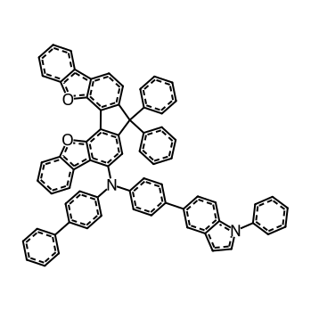 c1ccc(-c2ccc(N(c3ccc(-c4ccc5c(ccn5-c5ccccc5)c4)cc3)c3cc4c(c5oc6ccccc6c35)-c3c(ccc5c3oc3ccccc35)C4(c3ccccc3)c3ccccc3)cc2)cc1